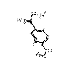 CCCCCOc1ccc(C(C)C(=O)O)cc1